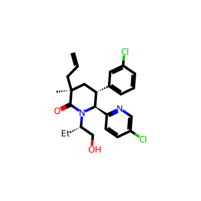 C=CC[C@@]1(C)C[C@H](c2cccc(Cl)c2)[C@@H](c2ccc(Cl)cn2)N([C@@H](CC)CO)C1=O